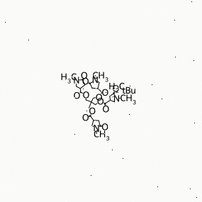 CN1CC(C(=O)OCC(COC(=O)C2CC(=O)N(C)C2)(COC(=O)C2CC(=O)N(C)C2)COC(=O)C2CC(=O)N(C)C2)CC1=O.[CH2]C([CH2])([CH2])[CH2]